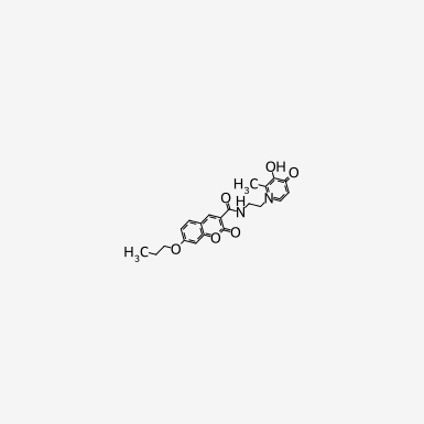 CCCOc1ccc2cc(C(=O)NCCn3ccc(=O)c(O)c3C)c(=O)oc2c1